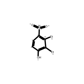 CCc1c(O)ccc([SH](=O)=O)c1CC